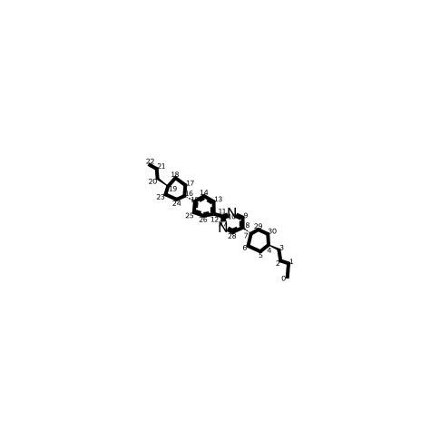 CCCC[C@H]1CC[C@H](c2cnc(-c3ccc([C@H]4CC[C@H](CCC)CC4)cc3)nc2)CC1